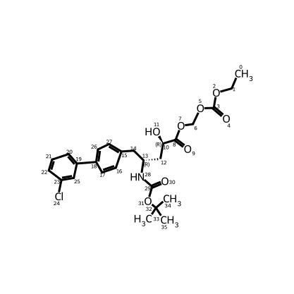 CCOC(=O)OCOC(=O)[C@H](O)C[C@@H](Cc1ccc(-c2cccc(Cl)c2)cc1)NC(=O)OC(C)(C)C